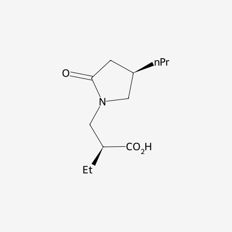 CCC[C@@H]1CC(=O)N(C[C@H](CC)C(=O)O)C1